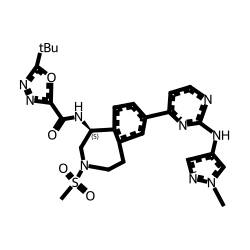 Cn1cc(Nc2nccc(-c3ccc4c(c3)CCN(S(C)(=O)=O)C[C@H]4NC(=O)c3nnc(C(C)(C)C)o3)n2)cn1